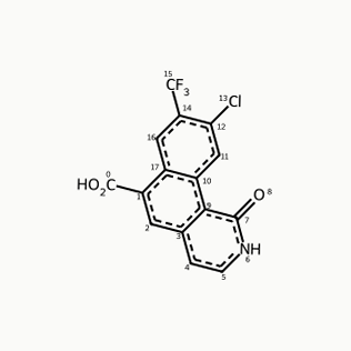 O=C(O)c1cc2cc[nH]c(=O)c2c2cc(Cl)c(C(F)(F)F)cc12